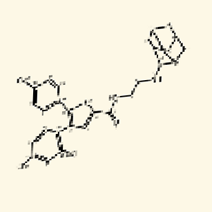 O=C(NCCNC1C2CC3CC(C2)CC1C3)c1cc(-c2ccc(Cl)cc2Cl)c(-c2ccc(Cl)cc2)s1